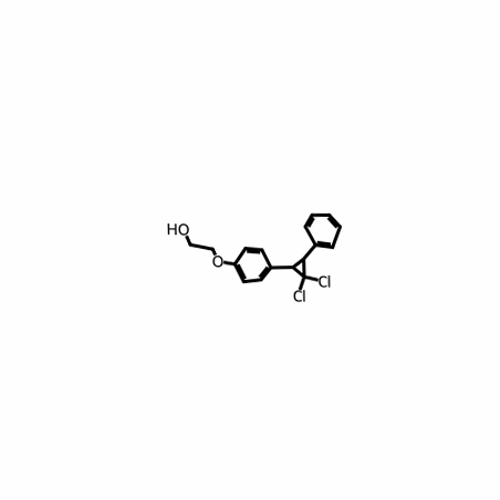 OCCOc1ccc(C2C(c3ccccc3)C2(Cl)Cl)cc1